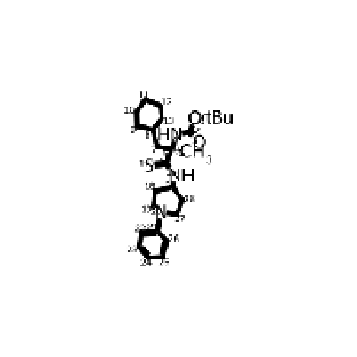 CC(C)(C)OC(=O)N[C@](C)(CC1CCCCC1)C(=S)NC1CCN(c2ccccc2)CC1